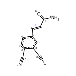 N#Cc1ccc(/C=C/C(N)=O)cc1C#N